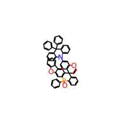 O=P1(c2ccccc2)c2ccccc2C2(c3ccccc3Oc3cc(N4c5ccccc5C(c5ccccc5)(c5ccccc5)c5ccccc54)ccc32)c2cc3c(cc21)oc1ccccc13